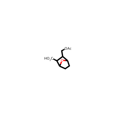 CC(=O)OCC1C2CCC(O2)C1C(=O)O